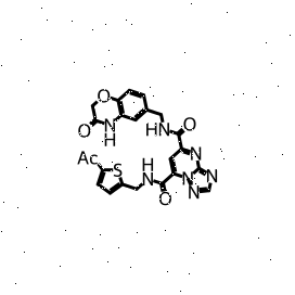 CC(=O)c1ccc(CNC(=O)c2cc(C(=O)NCc3ccc4c(c3)NC(=O)CO4)nc3ncnn23)s1